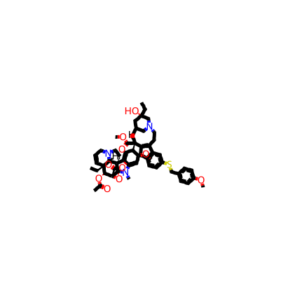 CC[C@]1(O)C[C@H]2CN(CCC3=C(Cc4ccc(SCc5ccc(OC)cc5)cc43)[C@@](C(=O)OC)(C3C=C4C(=CC3OC)N(C)[C@@]35O[C@]3(C(=O)OC)[C@H](OC(C)=O)[C@]3(CC)C=CCN6CC[C@]45[C@@H]63)C2)C1